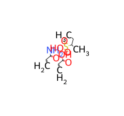 C=CC(=O)O.C=CC(N)=O.CCC(C)S(=O)(=O)O